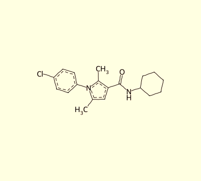 Cc1cc(C(=O)NC2CCCCC2)c(C)n1-c1ccc(Cl)cc1